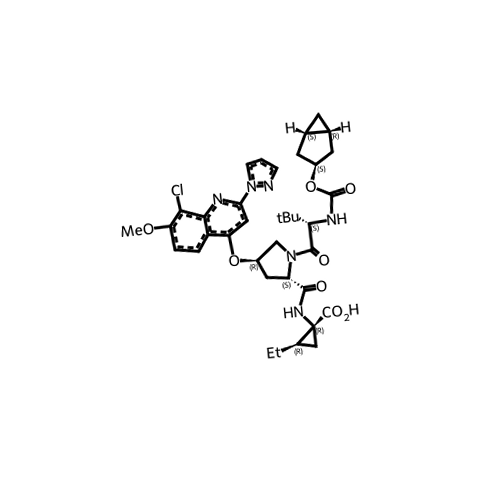 CC[C@@H]1C[C@]1(NC(=O)[C@@H]1C[C@@H](Oc2cc(-n3cccn3)nc3c(Cl)c(OC)ccc23)CN1C(=O)[C@@H](NC(=O)O[C@H]1C[C@@H]2C[C@@H]2C1)C(C)(C)C)C(=O)O